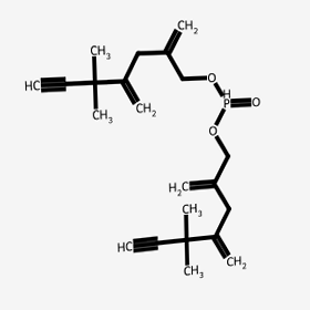 C#CC(C)(C)C(=C)CC(=C)CO[PH](=O)OCC(=C)CC(=C)C(C)(C)C#C